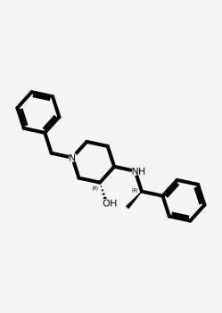 C[C@@H](NC1CCN(Cc2ccccc2)C[C@H]1O)c1ccccc1